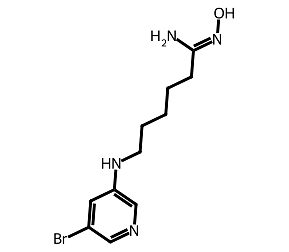 N/C(CCCCCNc1cncc(Br)c1)=N\O